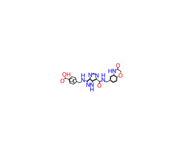 O=C1COc2ccc(CNC(=O)c3ncnc4c(NCC56CCC(C(=O)O)(CC5)CC6)n[nH]c34)cc2N1